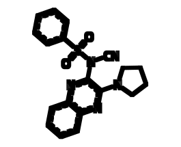 N#CN(c1nc2ccccc2nc1N1CCCC1)S(=O)(=O)c1ccccc1